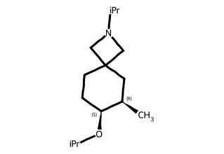 CC(C)O[C@H]1CCC2(C[C@H]1C)CN(C(C)C)C2